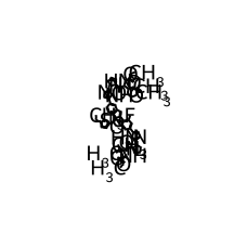 CCc1ccc(C2Oc3cc(-c4cnc([C@@H]5CCCN5C(=O)[C@@H](NC(=O)OC)C(C)C)[nH]4)cc(F)c3-c3cc4cc(-c5cnc([C@@H]6CCCN6C(=O)C(NC(=O)OC)C6CCOC(C)(C)C6)[nH]5)ccc4n32)s1